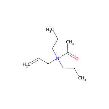 C=CC[N+](CCC)(CCC)C(C)=O